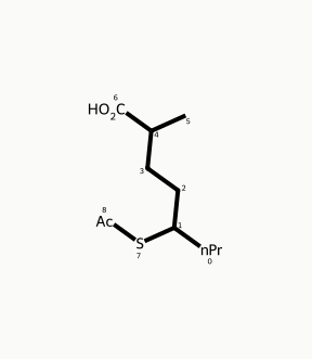 CCCC(CCC(C)C(=O)O)SC(C)=O